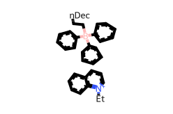 CCCCCCCCCCCC[B-](c1ccccc1)(c1ccccc1)c1ccccc1.CC[n+]1cccc2ccccc21